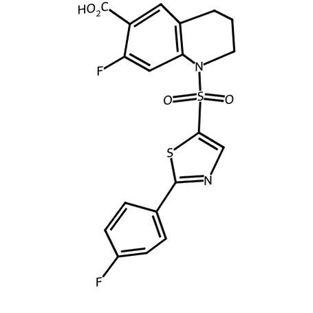 O=C(O)c1cc2c(cc1F)N(S(=O)(=O)c1cnc(-c3ccc(F)cc3)s1)CCC2